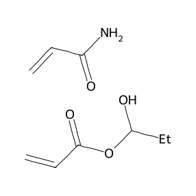 C=CC(=O)OC(O)CC.C=CC(N)=O